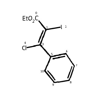 CCOC(=O)C(I)=C(Cl)c1ccccc1